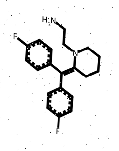 NCCN1CCCCC1=C(c1ccc(F)cc1)c1ccc(F)cc1